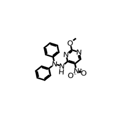 COc1ncc([N+](=O)[O-])c(NN(c2ccccc2)c2ccccc2)n1